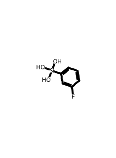 O[Si](O)(O)c1cccc(F)c1